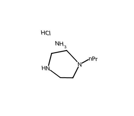 CCCN1CCNCC1.Cl.N